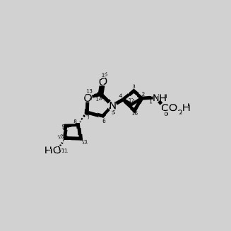 O=C(O)NC12CC(N3CC([C@H]4C[C@@H](O)C4)OC3=O)(C1)C2